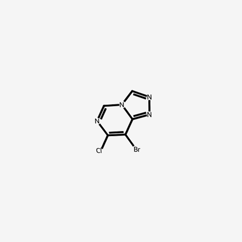 Clc1ncn2cnnc2c1Br